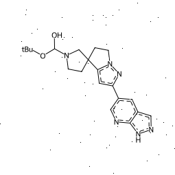 CC(C)(C)OC(O)N1CCC2(CCn3nc(-c4cnc5[nH]ncc5c4)cc32)C1